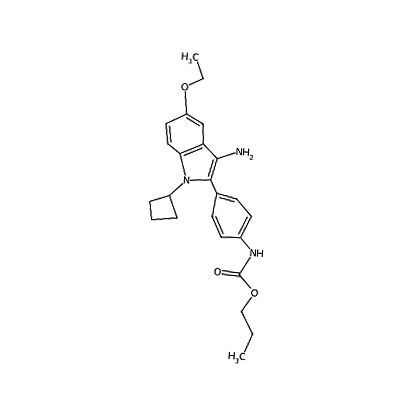 CCCOC(=O)Nc1ccc(-c2c(N)c3cc(OCC)ccc3n2C2CCC2)cc1